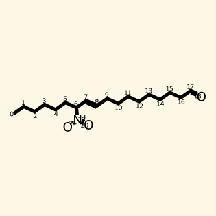 CCCCCCC(/C=C/CCCCCCCCC=O)[N+](=O)[O-]